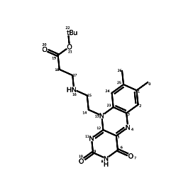 Cc1cc2nc3c(=O)[nH]c(=O)nc-3n(CCNCCC(=O)OC(C)(C)C)c2cc1C